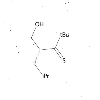 CC(C)C[C@H](CO)C(=S)C(C)(C)C